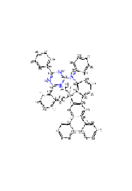 CC1(C)c2cc3c4ccccc4c4ccccc4c3cc2-c2ccc3c4ccccc4n(-c4nc(-c5ccccc5)nc(-c5ccccc5)n4)c3c21